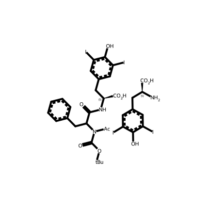 CC(=O)N(C(=O)OC(C)(C)C)C(Cc1ccccc1)C(=O)N[C@@H](Cc1cc(I)c(O)c(I)c1)C(=O)O.N[C@@H](Cc1cc(I)c(O)c(I)c1)C(=O)O